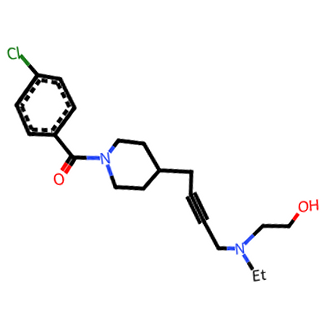 CCN(CC#CCC1CCN(C(=O)c2ccc(Cl)cc2)CC1)CCO